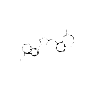 Cc1ncnc2c1ccn2C1CCC(Oc2cccc3c2CNCCO3)C1